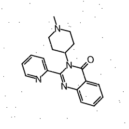 CN1CCC(n2c(-c3ccccn3)nc3ccccc3c2=O)CC1